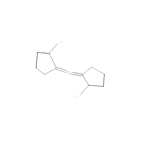 CC(C)C1CCC[C]1=[Ni]=[C]1CCCC1C(C)C